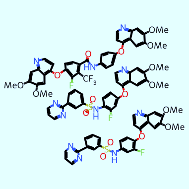 COc1cc2nccc(Oc3ccc(NC(=O)c4ccc(Oc5ccnc6cc(OC)c(OC)cc56)c(F)c4C(F)(F)F)cc3)c2cc1OC.COc1cc2nccc(Oc3ccc(NS(=O)(=O)c4cccc(-c5ncccn5)c4)c(F)c3)c2cc1OC.COc1cc2nccc(Oc3ccc(NS(=O)(=O)c4cccc(-c5ncccn5)c4)cc3F)c2cc1OC